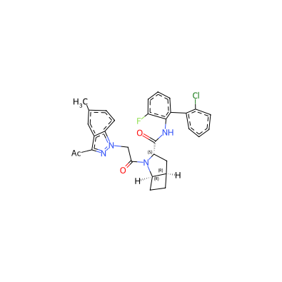 CC(=O)c1nn(CC(=O)N2[C@@H]3CC[C@@H]3C[C@H]2C(=O)Nc2c(F)cccc2-c2ccccc2Cl)c2ccc(C)cc12